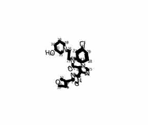 O=c1c2c(-c3noc(C4CCOC4)n3)ncn2c2ccc(Cl)cc2n1CCN1CCCC(O)C1